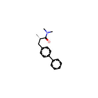 C[C@@H](Cc1ccc(-c2ccccc2)cc1)C(=O)N(C)C